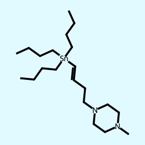 CCC[CH2][Sn](/[CH]=C/CCN1CCN(C)CC1)([CH2]CCC)[CH2]CCC